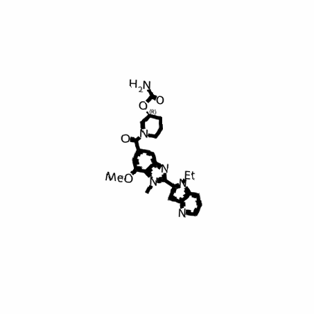 CCn1c(-c2nc3cc(C(=O)N4CCC[C@@H](OC(N)=O)C4)cc(OC)c3n2C)cc2ncccc21